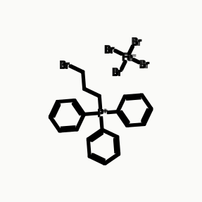 BrCCC[P+](c1ccccc1)(c1ccccc1)c1ccccc1.[Br][Fe-]([Br])([Br])[Br]